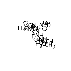 CC(C)(C)OC(=O)N[C@H]1CCCC[C@H]1Nc1nc(Nc2cnc3c([N+](=O)[O-])cccc3c2)c(C(=O)NC(C)(C)c2ccccc2)cc1F